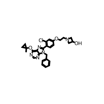 CC1(Oc2ncnc3c2nc(-c2ccc(OCCN4CC(O)C4)cc2Cl)n3Cc2ccccc2)CC1